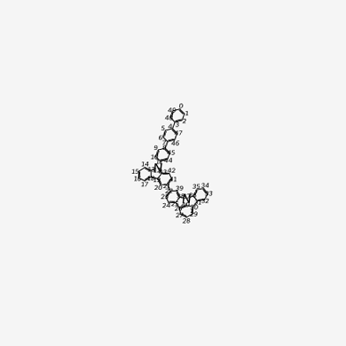 c1ccc(-c2ccc(-c3ccc(-n4c5ccccc5c5cc(-c6ccc7c8cccc9c%10ccccc%10n(c7c6)c98)ccc54)cc3)cc2)cc1